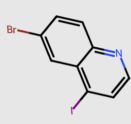 Brc1ccc2nccc(I)c2c1